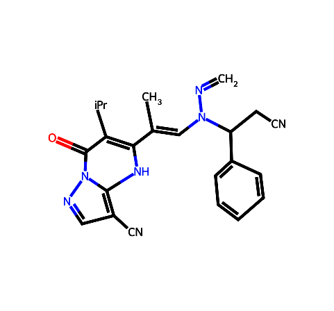 C=NN(/C=C(\C)c1[nH]c2c(C#N)cnn2c(=O)c1C(C)C)C(CC#N)c1ccccc1